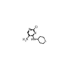 Nc1cnc(Cl)nc1NC1CCSCC1